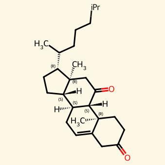 CC(C)CCCC(C)[C@H]1CC[C@H]2[C@@H]3CC=C4CC(=O)CC[C@]4(C)[C@H]3C(=O)C[C@]12C